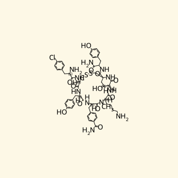 CN1C(=O)[C@@H](Cc2ccc(C(N)=O)cc2)NC(=O)[C@H](Cc2ccc(O)cc2)NC(=O)[C@H](NC(=O)[C@@H](N)Cc2ccc(Cl)cc2)CSSCC2(C(=O)NC(Cc3ccc(O)cc3)C(N)=O)C[C@@H](O)[C@H](NC(=O)[C@@H]1CCCCN)C(=O)N2